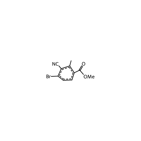 COC(=O)c1ccc(Br)c(C#N)c1C